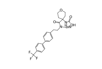 N#CN(CCc1ccc(-c2ccc(C(F)(F)F)cc2)cc1)C(=O)C1(NC(=O)O)CCOCC1